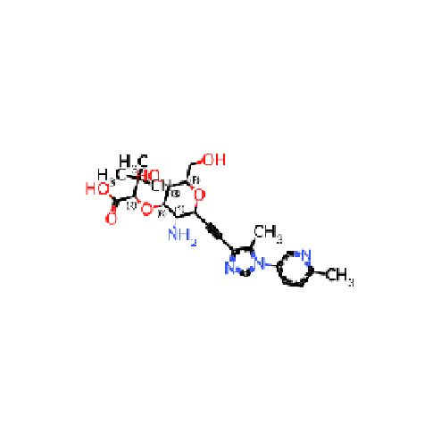 Cc1ccc(-n2cnc(C#CC3O[C@H](CO)[C@@H](O)[C@H](O[C@@H](C(=O)O)C(C)(C)C)[C@H]3N)c2C)cn1